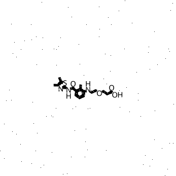 Cc1nc(NC(=O)c2cccc(NCCOCCC(=O)O)c2C)sc1C